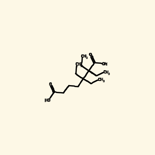 CCC(CC)(CCCC(=O)O)C(CC)(CC)C(=O)O